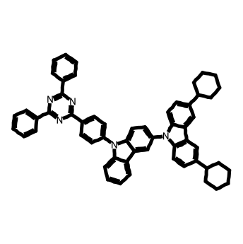 c1ccc(-c2nc(-c3ccccc3)nc(-c3ccc(-n4c5ccccc5c5cc(-n6c7ccc(C8CCCCC8)cc7c7cc(C8CCCCC8)ccc76)ccc54)cc3)n2)cc1